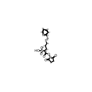 O=C(ON1C(=O)CCC1=O)C(CCCSSc1ccccn1)S(=O)(=O)O